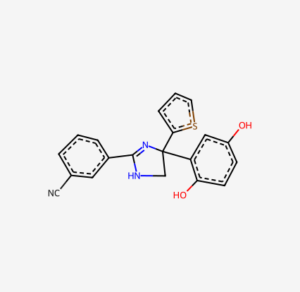 N#Cc1cccc(C2=NC(c3cccs3)(c3cc(O)ccc3O)CN2)c1